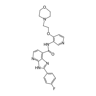 O=C(Nc1cnccc1OCCN1CCOCC1)c1ccnc2[nH]c(-c3ccc(F)cc3)nc12